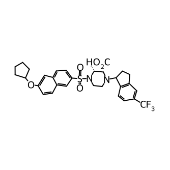 O=C(O)[C@@H]1CN(C2CCc3cc(C(F)(F)F)ccc32)CCN1S(=O)(=O)c1ccc2cc(OC3CCCC3)ccc2c1